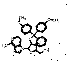 COc1ccc(C(OC2C(n3cnc4c(C)ncnc43)OC(CO)[C@@H]2F)(c2ccccc2)c2ccc(OC)cc2)cc1